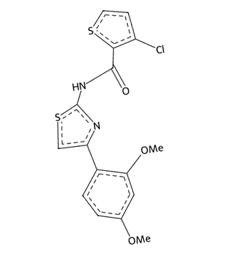 COc1ccc(-c2csc(NC(=O)c3sccc3Cl)n2)c(OC)c1